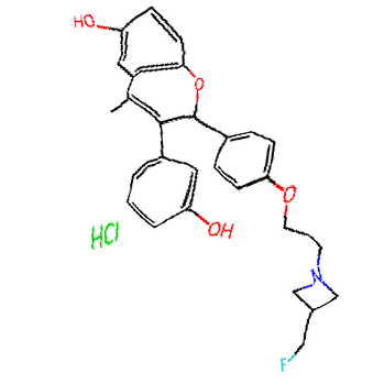 CC1=C(c2cccc(O)c2)C(c2ccc(OCCN3CC(CF)C3)cc2)Oc2ccc(O)cc21.Cl